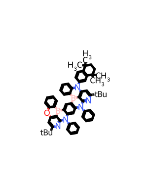 CC(C)(C)c1cc2c3c(n1)N(c1ccccc1)c1cc4c(cc1B3c1ccccc1O2)B1c2ccccc2N(c2ccc3c(c2)C(C)(C)CCC3(C)C)c2cc(C(C)(C)C)nc(c21)N4c1ccccc1